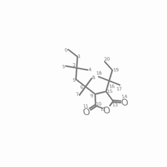 CCC(C)(C)CC(C)(C)C1C(=O)OC(=O)C1C(C)(C)CC